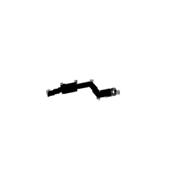 CC#CCC=O